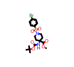 COC(=O)C1(NC(=O)OC(C)(C)C)CCN(S(=O)(=O)c2ccc(Br)cc2)CC1